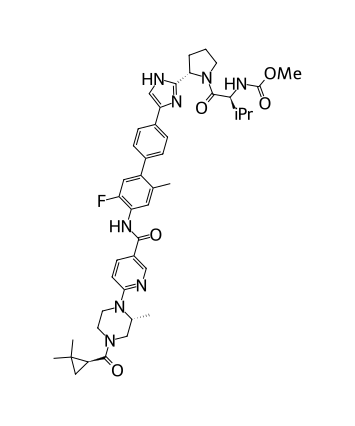 COC(=O)N[C@H](C(=O)N1CCC[C@H]1c1nc(-c2ccc(-c3cc(F)c(NC(=O)c4ccc(N5CCN(C(=O)[C@H]6CC6(C)C)C[C@H]5C)nc4)cc3C)cc2)c[nH]1)C(C)C